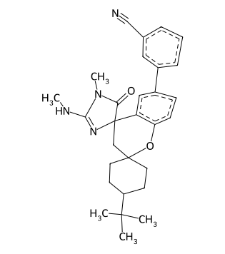 CNC1=NC2(CC3(CCC(C(C)(C)C)CC3)Oc3ccc(-c4cccc(C#N)c4)cc32)C(=O)N1C